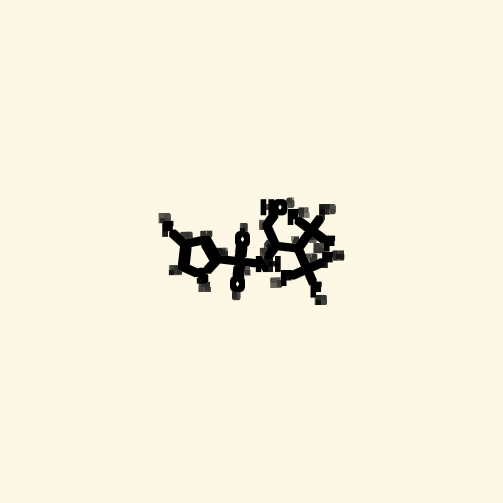 O=S(=O)(NC(CO)C(C(F)(F)F)C(F)(F)F)c1cc(F)cs1